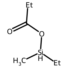 CCC(=O)O[SiH](C)CC